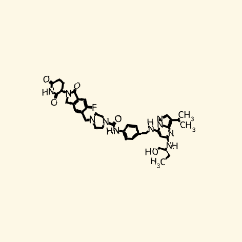 CC[C@@H](CO)Nc1cc(NCc2ccc(NC(=O)N3CCN(Cc4cc5c(cc4F)C(=O)N(C4CCC(=O)NC4=O)C5)CC3)cc2)n2ncc(C(C)C)c2n1